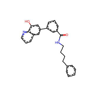 O=C(NCCCCc1ccccc1)c1cccc(-c2cc(O)c3ncccc3c2)c1